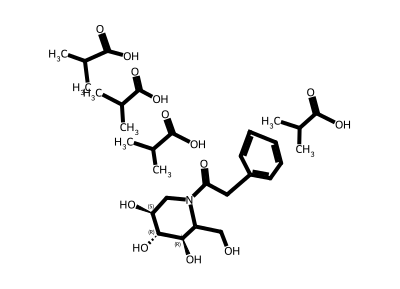 CC(C)C(=O)O.CC(C)C(=O)O.CC(C)C(=O)O.CC(C)C(=O)O.O=C(Cc1ccccc1)N1C[C@H](O)[C@@H](O)[C@H](O)C1CO